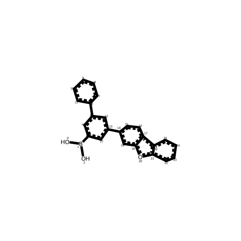 OB(O)c1cc(-c2ccccc2)cc(-c2ccc3c(c2)oc2ccccc23)c1